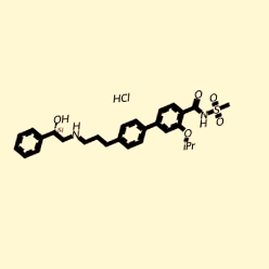 CC(C)Oc1cc(-c2ccc(CCCNC[C@@H](O)c3ccccc3)cc2)ccc1C(=O)NS(C)(=O)=O.Cl